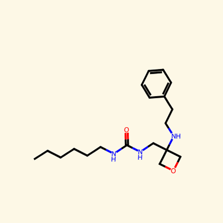 CCCCCCNC(=O)NCC1(NCCc2ccccc2)COC1